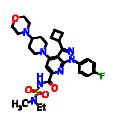 CCN(C)S(=O)(=O)NC(=O)c1cc(N2CCC(N3CCOCC3)CC2)c2c(C3CCC3)nn(-c3ccc(F)cc3)c2n1